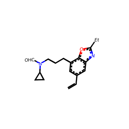 C=Cc1cc(CCCN(C=O)C2CC2)c2oc(CC)nc2c1